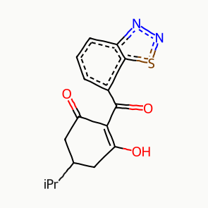 CC(C)C1CC(=O)C(C(=O)c2cccc3nnsc23)=C(O)C1